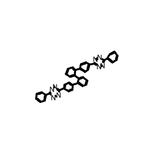 c1ccc(-c2nnc(-c3ccc(-c4ccccc4-c4ccccc4-c4ccc(-c5nnc(-c6ccccc6)nn5)cc4)cc3)nn2)cc1